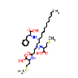 CCCCCCCC/C=C/CCCCCCCC(=O)NC(CCSC)C(=O)O.CSCCC(N)C(=O)O.NC(Cc1ccccc1)C(=O)O